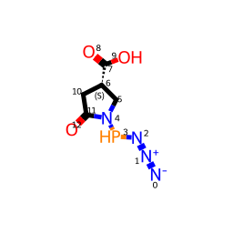 [N-]=[N+]=NPN1C[C@@H](C(=O)O)CC1=O